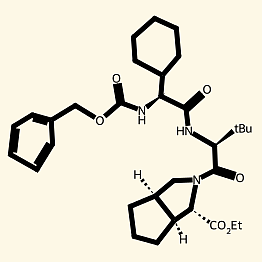 CCOC(=O)[C@@H]1[C@H]2CCC[C@H]2CN1C(=O)[C@@H](NC(=O)[C@@H](NC(=O)OCc1ccccc1)C1CCCCC1)C(C)(C)C